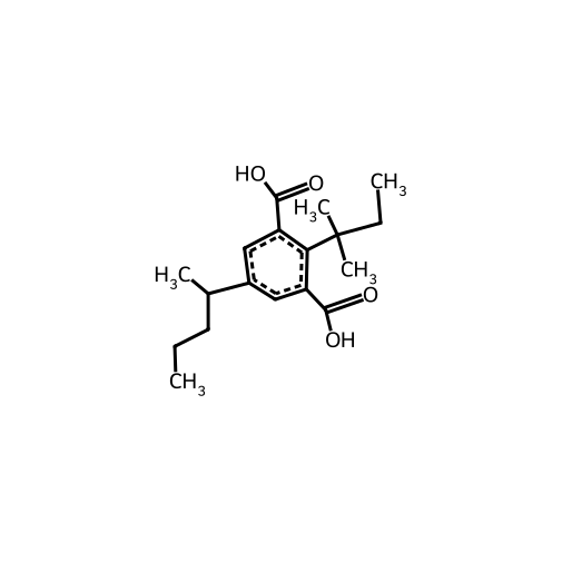 CCCC(C)c1cc(C(=O)O)c(C(C)(C)CC)c(C(=O)O)c1